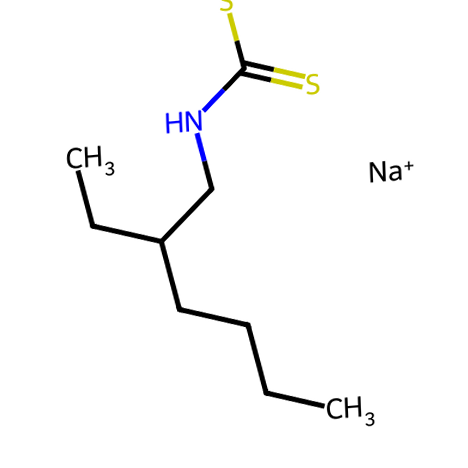 CCCCC(CC)CNC(=S)[S-].[Na+]